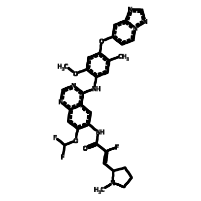 COc1cc(Oc2ccn3ncnc3c2)c(C)cc1Nc1ncnc2cc(OC(F)F)c(NC(=O)/C(F)=C/C3CCCN3C)cc12